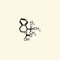 CC(C)(C)C1c2ccccc2CCN1C(=O)O